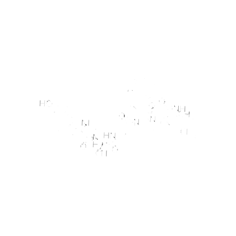 CC(C)C[C@H](C(N)=O)N1CCN(C(=O)CNC(=O)[C@@H](C)NC(=O)[C@@H](N)Cc2ccc(O)cc2)[C@@H](Cc2ccccc2)C1=O